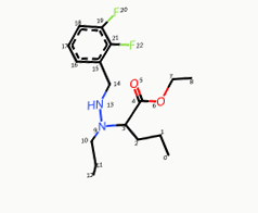 CCCC(C(=O)OCC)N(CCC)NCc1cccc(F)c1F